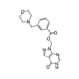 O=C(OCn1ncc2c(=O)[nH]cnc21)c1cccc(CN2CCOCC2)c1